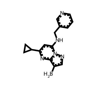 Bc1cnn2c(NCc3cccnc3)cc(C3CC3)nc12